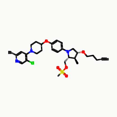 CCc1cc(N2CCC(Oc3ccc(N4C[C@H](OCCCOC)[C@@H](C)[C@@H]4COS(C)(=O)=O)cc3)CC2)c(Cl)cn1